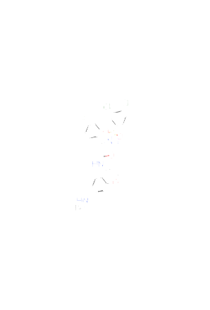 CC(C)(C)NCc1ccc2c(c1)OCCC2NC(=O)CC(NS(=O)(=O)c1ccc(Cl)c(Cl)c1)c1ccc(F)cc1